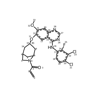 C=CC(=O)N1CC2CC1C[C@H](Oc1cc3c(Nc4ccc(Cl)c(Cl)c4F)ncnc3cc1OC)C2